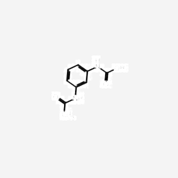 CC(=O)Nc1cccc(NC(=O)O)c1